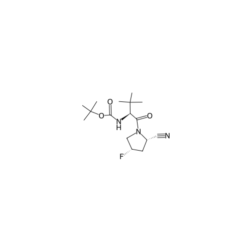 CC(C)(C)OC(=O)N[C@H](C(=O)N1C[C@@H](F)C[C@H]1C#N)C(C)(C)C